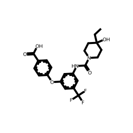 CCC1(O)CCN(C(=O)Nc2cc(Oc3ccc(C(=O)O)cc3)cc(C(F)(F)F)c2)CC1